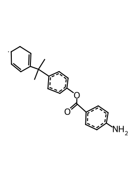 CC(C)(C1=CC[CH]C=C1)c1ccc(OC(=O)c2ccc(N)cc2)cc1